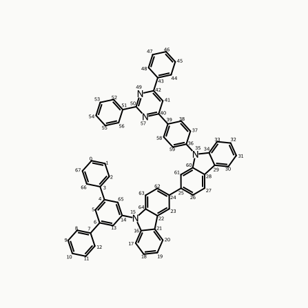 c1ccc(-c2cc(-c3ccccc3)cc(-n3c4ccccc4c4cc(-c5ccc6c7ccccc7n(-c7ccc(-c8cc(-c9ccccc9)nc(-c9ccccc9)n8)cc7)c6c5)ccc43)c2)cc1